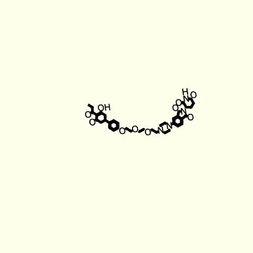 CCC(=O)C1=C(O)CC(c2ccc(OCCOCCOCCN3CCN(c4ccc5c(c4)C(=O)N(C4CCC(=O)NC4=O)C5=O)CC3)cc2)CC1=O